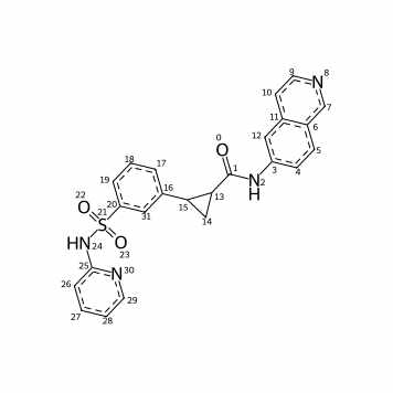 O=C(Nc1ccc2cnccc2c1)C1CC1c1cccc(S(=O)(=O)Nc2ccccn2)c1